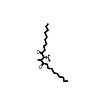 CCCCCCCCCC(=O)C(C)C(C(=O)CCCCCCCCC)N(C)C